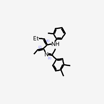 C/C=C(\N=C(/C)c1ccc(C)c(C)c1)C(=C\CC)/Nc1ccccc1C